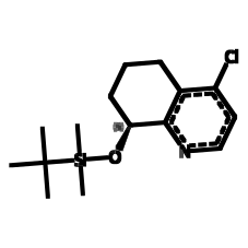 CC(C)(C)[Si](C)(C)O[C@H]1CCCc2c(Cl)ccnc21